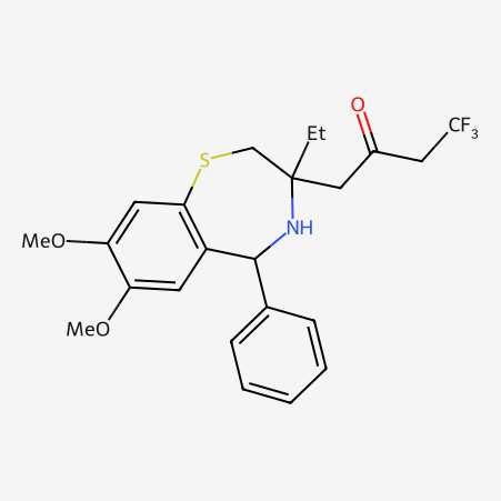 CCC1(CC(=O)CC(F)(F)F)CSc2cc(OC)c(OC)cc2C(c2ccccc2)N1